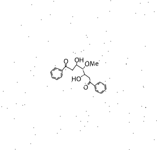 COC(C(O)CC(=O)c1ccccc1)C(O)CC(=O)c1ccccc1